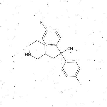 N#CC(CC1CCCNC1)(c1ccc(F)cc1)c1ccc(F)cc1